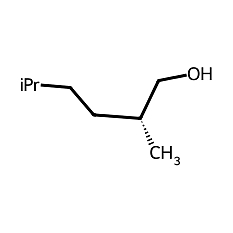 CC(C)CC[C@@H](C)CO